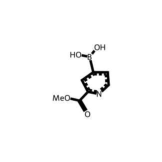 COC(=O)c1cc(B(O)O)ccn1